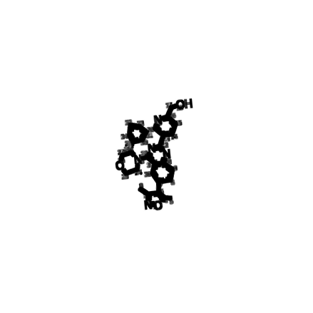 Cc1noc(C)c1-c1ccc2nc(-c3ccc(CO)nc3)nc(N3CCOC[C@@H]3c3ccccc3)c2c1